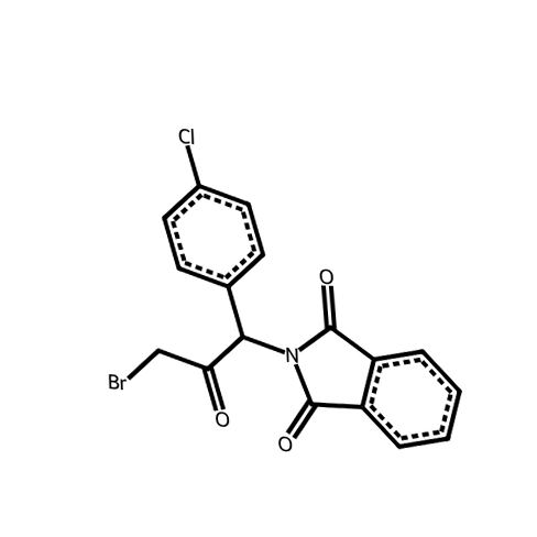 O=C(CBr)C(c1ccc(Cl)cc1)N1C(=O)c2ccccc2C1=O